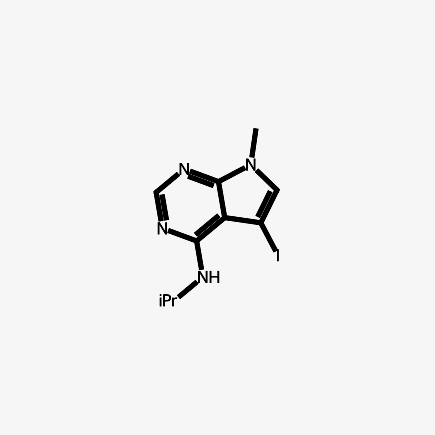 CC(C)Nc1ncnc2c1c(I)cn2C